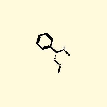 CN[C@H](COC)c1ccccc1